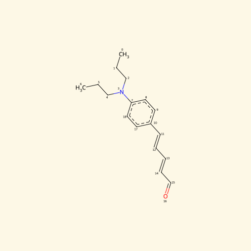 CCCN(CCC)c1ccc(C=CC=CC=O)cc1